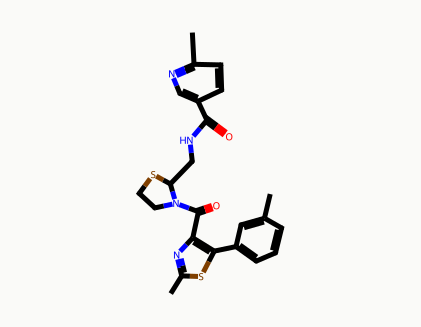 Cc1cccc(-c2sc(C)nc2C(=O)N2CCSC2CNC(=O)c2ccc(C)nc2)c1